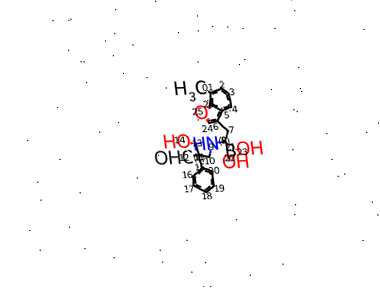 Cc1cccc2c(C[C@H](NC[C@@](C=O)(CO)c3ccccc3)B(O)O)coc12